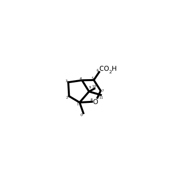 CC12CCC(C(C(=O)O)CO1)C2(C)C